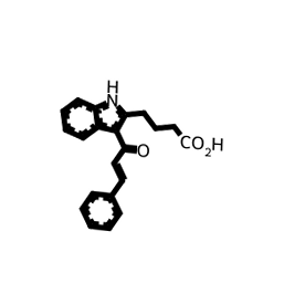 O=C(O)CCCc1[nH]c2ccccc2c1C(=O)C=Cc1ccccc1